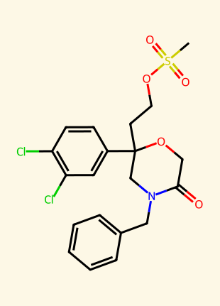 CS(=O)(=O)OCCC1(c2ccc(Cl)c(Cl)c2)CN(Cc2ccccc2)C(=O)CO1